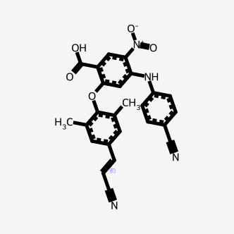 Cc1cc(/C=C/C#N)cc(C)c1Oc1cc(Nc2ccc(C#N)cc2)c([N+](=O)[O-])cc1C(=O)O